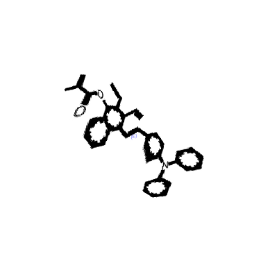 C=Cc1c(C=C)c(OC(=O)C(=C)C)c2ccccc2c1/C=C/c1ccc(N(c2ccccc2)c2ccccc2)cc1